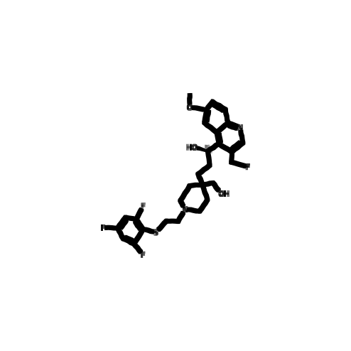 COc1ccc2ncc(CF)c([C@H](O)CCC3(CO)CCN(CCSc4c(F)cc(F)cc4F)CC3)c2c1